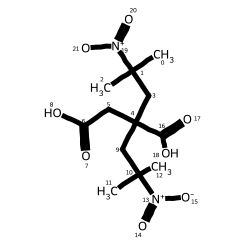 CC(C)(CC(CC(=O)O)(CC(C)(C)[N+](=O)[O-])C(=O)O)[N+](=O)[O-]